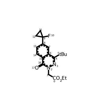 CCOC(=O)Cn1nc(C(C)(C)C)c2cc(C3(F)CC3)ccc2c1=O